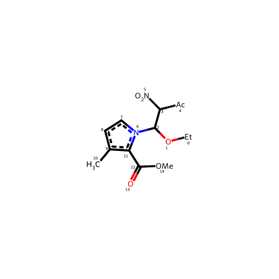 CCOC(C(C(C)=O)[N+](=O)[O-])n1ccc(C)c1C(=O)OC